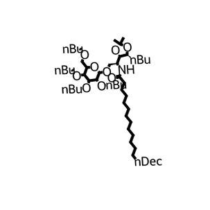 CCCCCCCCCCCCCCCCCCCCCCC(=O)N[C@@H](COC1OC(COCCCC)C(OCCCC)C(OCCCC)C1OCCCC)[C@@H]1OC(C)(C)O[C@@H]1CCCC